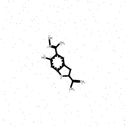 C=C(C)C1Cc2cc(/C(C)=N/O)c(O)cc2O1